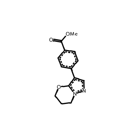 COC(=O)c1ccc(-c2cnn3c2OCCC3)cc1